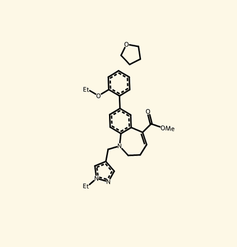 C1CCOC1.CCOc1ccccc1-c1ccc2c(c1)C(C(=O)OC)=CCCN2Cc1cnn(CC)c1